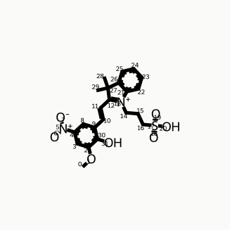 COc1cc([N+](=O)[O-])cc(/C=C/C2=[N+](CCCS(=O)(=O)O)c3ccccc3C2(C)C)c1O